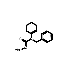 CC(C)(C)OC(=O)N(Cc1ccccc1)C1=CCCCC1